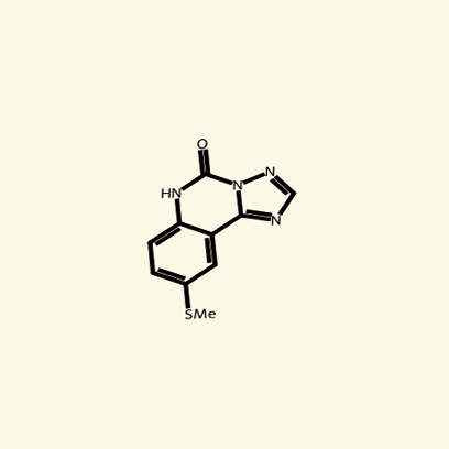 CSc1ccc2[nH]c(=O)n3ncnc3c2c1